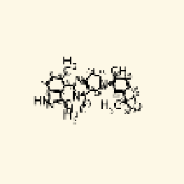 COc1nc(-c2c(C)ccc3[nH]nc(C)c23)nc2c1CN(c1cc(C3(C)COC3)ccc1C)CC2